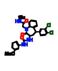 COc1cccc(NC(=O)NC2CC(c3ccc(Cl)c(Cl)c3)c3ccccc3N(CC(=O)NC(C)(C)C)C2=O)c1